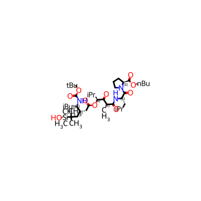 CCCCOC(=O)[C@@H]1CCCN1C(=O)[C@H](CC(C)C)NC(=O)[C@H](C)C(=O)[C@@H](OC(=O)C[C@H](CC(C)(C)[Si](C)(C)O)[C@H](NC(=O)OC(C)(C)C)[C@@H](C)CC)C(C)C